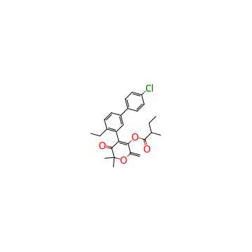 C=C1OC(C)(C)C(=O)C(c2cc(-c3ccc(Cl)cc3)ccc2CC)=C1OC(=O)C(C)CC